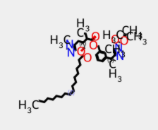 CCCCCCCC/C=C\CCCCCCCC(=O)OC[C@H](Cc1cncn1C)C(CC)C(=O)OCc1cccc([C@H](C)c2cn(C(=O)OC(C)(C)C)cn2)c1C